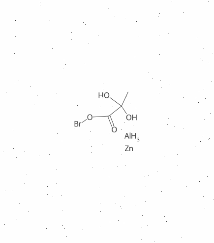 CC(O)(O)C(=O)OBr.[AlH3].[Zn]